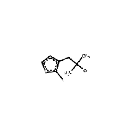 CC(C)([O])Cc1ccsc1I